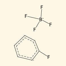 F[B-](F)(F)F.Fc1[c]cccc1